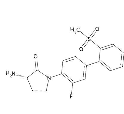 CS(=O)(=O)c1ccccc1-c1ccc(N2CC[C@H](N)C2=O)c(F)c1